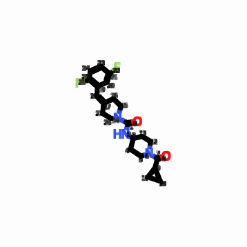 O=C(NC1CCN(C(=O)C2CC2)CC1)N1CCC(=Cc2cc(F)ccc2F)CC1